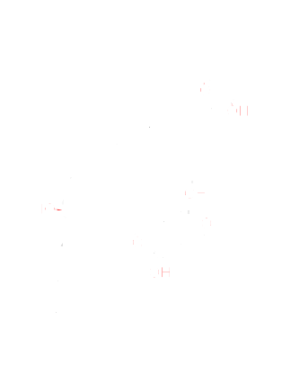 CCCCCC[C@@H](O)C/C=C\CCCCCCCC(=O)O.O=C(O)CCC(=O)O